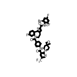 O=C(Nc1c(F)cc(F)cc1Br)c1cc2c(s1)-c1ccc(F)cc1N(C(=O)c1ccc(NC(=O)c3cc(C(F)(F)F)cnc3N3CCC4(CC3)COC4)cc1)CC2